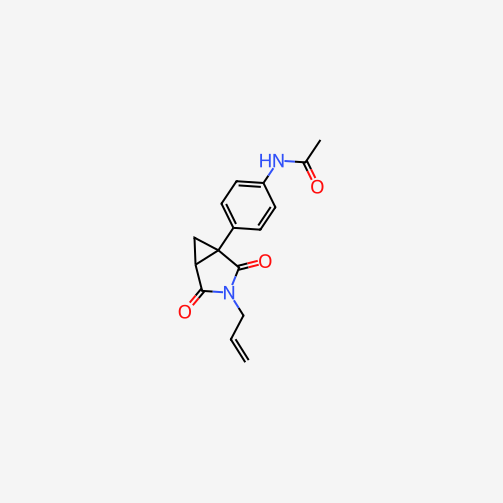 C=CCN1C(=O)C2CC2(c2ccc(NC(C)=O)cc2)C1=O